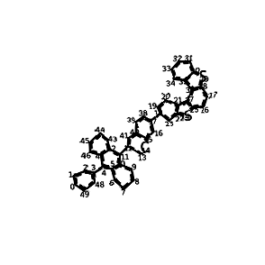 c1ccc(-c2c3ccccc3c(-c3ccc4cc(-c5ccc6c(c5)sc5ccc7sc8ccccc8c7c56)ccc4c3)c3ccccc23)cc1